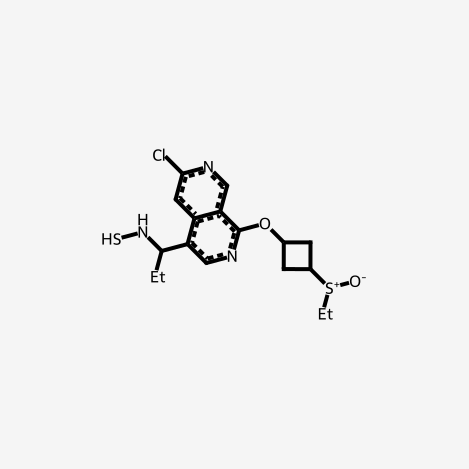 CCC(NS)c1cnc(OC2CC([S+]([O-])CC)C2)c2cnc(Cl)cc12